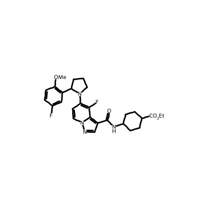 CCOC(=O)C1CCC(NC(=O)c2cnn3ccc(N4CCCC4c4cc(F)ccc4OC)c(F)c23)CC1